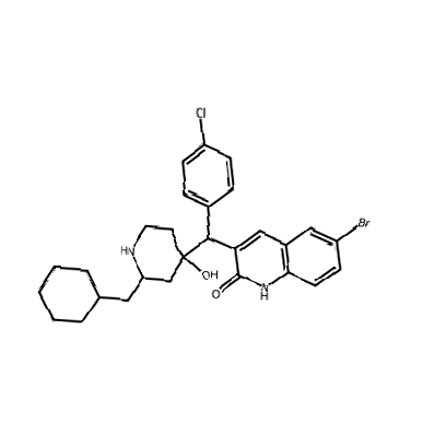 O=c1[nH]c2ccc(Br)cc2cc1C(c1ccc(Cl)cc1)C1(O)CCNC(CC2CCCCC2)C1